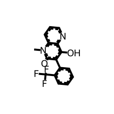 Cn1c(=O)c(-c2ccccc2C(F)(F)F)c(O)c2ncccc21